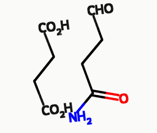 NC(=O)CCC=O.O=C(O)CCC(=O)O